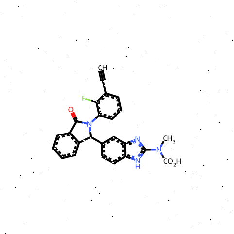 C#Cc1cccc(N2C(=O)c3ccccc3C2c2ccc3[nH]c(N(C)C(=O)O)nc3c2)c1F